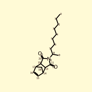 CCCCCCCCC(C)N1C(=O)C2C3C=CC(C3)C2C1=O